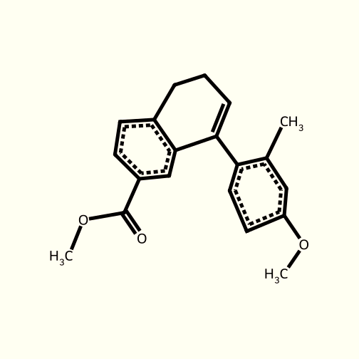 COC(=O)c1ccc2c(c1)C(c1ccc(OC)cc1C)=CCC2